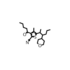 CCCCC(=O)c1c(C#N)sc(C(C)C(CCC)C2CCOCC2)c1C